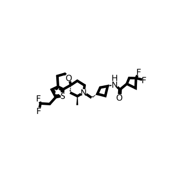 C[C@H]1C[C@@]2(CCN1C[C@H]1C[C@@H](NC(=O)C3CC(F)(F)C3)C1)OCCc1cc(CC(F)F)sc12